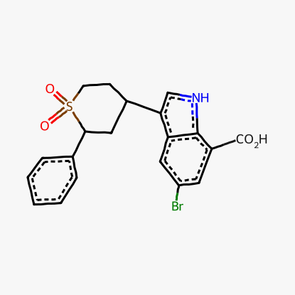 O=C(O)c1cc(Br)cc2c(C3CCS(=O)(=O)C(c4ccccc4)C3)c[nH]c12